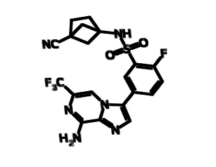 N#CC12CCC(NS(=O)(=O)c3cc(-c4cnc5c(N)nc(C(F)(F)F)cn45)ccc3F)(C1)C2